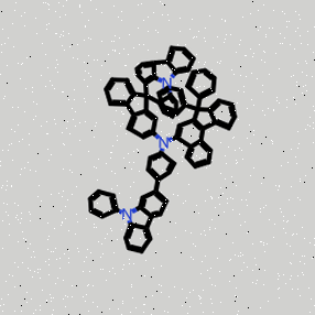 c1ccc(-n2c3ccccc3c3ccc(-c4ccc(N(c5ccc6c(c5)C5(c7ccccc7-6)c6ccccc6-n6c7ccccc7c7cccc5c76)c5cc6c(c7ccccc57)-c5ccccc5C6(c5ccccc5)c5ccccc5)cc4)cc32)cc1